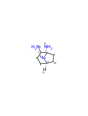 CN1[C@@H]2CCC(N)[C@@]1(N)CC2